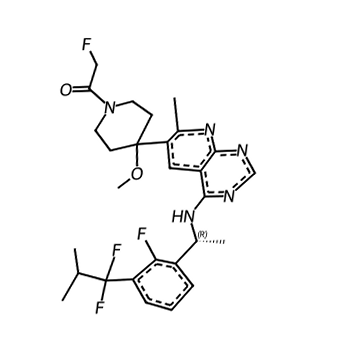 COC1(c2cc3c(N[C@H](C)c4cccc(C(F)(F)C(C)C)c4F)ncnc3nc2C)CCN(C(=O)CF)CC1